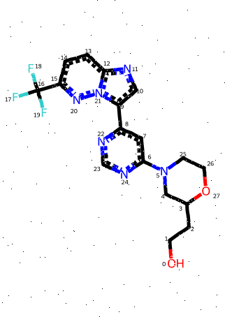 OCCC1CN(c2cc(-c3cnc4ccc(C(F)(F)F)nn34)ncn2)CCO1